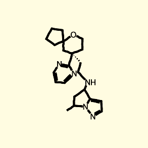 CC1CC(NCC[C@@]2(c3ncccn3)CCOC3(CCCC3)C2)c2ccnn21